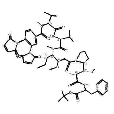 CC[C@H](C)[C@@H]([C@@H](CC(=O)N1CCC[C@H]1[C@H](OC)[C@@H](C)C(=O)NC(Cc1ccccc1)C(=O)OC(C)(C)C)OC)N(C)C(=O)[C@@H](NC(=O)[C@H](C(C)C)N(C)C(=O)c1ccc(N2C(=O)C=CC2=O)c(N2C(=O)C=CC2=O)c1)C(C)C